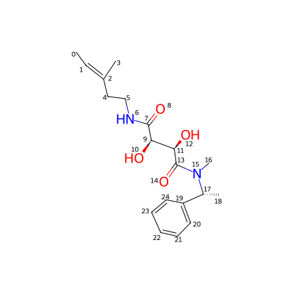 C/C=C(\C)CCNC(=O)[C@H](O)[C@@H](O)C(=O)N(C)[C@H](C)c1ccccc1